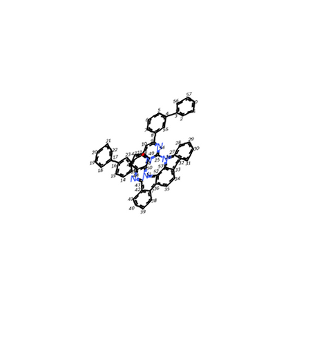 c1ccc(-c2cccc(-c3cc(-c4cccc(-c5ccccc5)c4)nc(-n4c5ccccc5c5ccc6c7ccccc7c7nc8ccccc8n7c6c54)n3)c2)cc1